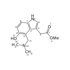 COC(=O)Cc1c[nH]c2ccc(O)c(CN(C)C)c12